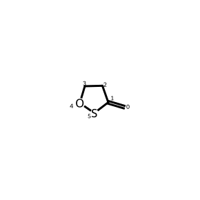 C=C1CCOS1